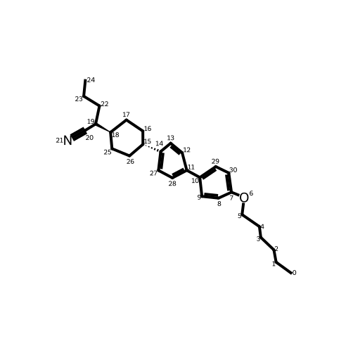 CCCCCCOc1ccc(-c2ccc([C@H]3CC[C@H](C(C#N)CCC)CC3)cc2)cc1